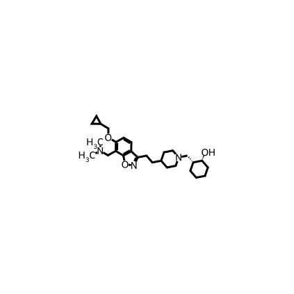 CN(C)Cc1c(OCC2CC2)ccc2c(CCC3CCN(C[C@H]4CCCC[C@H]4O)CC3)noc12